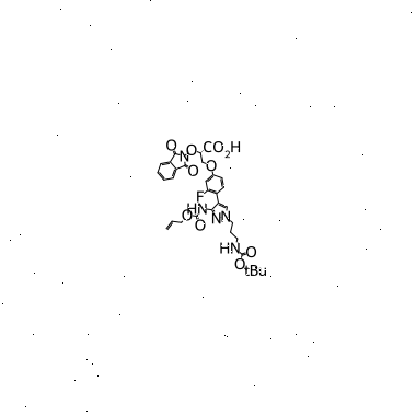 C=CCOC(=O)Nc1nn(CCCNC(=O)OC(C)(C)C)cc1-c1ccc(OC[C@H](ON2C(=O)c3ccccc3C2=O)C(=O)O)cc1F